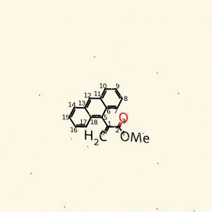 C=C(C(=O)OC)c1c2ccccc2cc2ccccc12